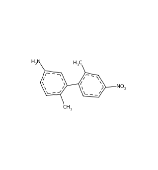 Cc1cc([N+](=O)[O-])ccc1-c1cc(N)ccc1C